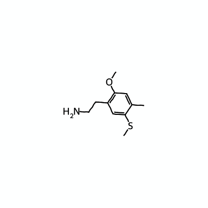 COc1cc(C)c(SC)cc1CCN